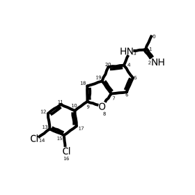 CC(=N)Nc1ccc2oc(-c3ccc(Cl)c(Cl)c3)cc2c1